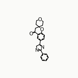 O=C1CC2(CCOCC2)Oc2ccc(C3=NC(c4ccccc4)=NC3)cc21